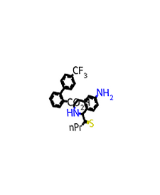 CCCC(=S)C1NCCc2cc(N)ccc21.O=C(O)c1ccccc1-c1ccc(C(F)(F)F)cc1